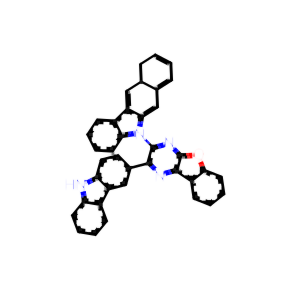 C1=CCC2C=c3c(n(-c4nc5oc6ccccc6c5nc4-c4ccc5[nH]c6ccccc6c5c4)c4ccccc34)=CC2=C1